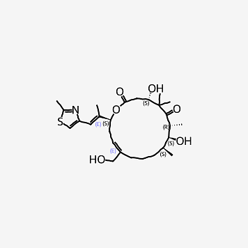 C/C(=C\c1csc(C)n1)[C@@H]1C/C=C(/CO)CCC[C@H](C)[C@H](O)[C@@H](C)C(=O)C(C)(C)[C@@H](O)CC(=O)O1